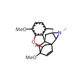 COc1ccc2c3c1OC1C4(OC)C=CC5(CC4C(C)=O)C4[N@@](C)[C@]4(C2)C[C@]315